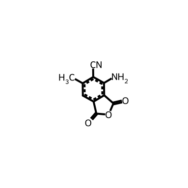 Cc1cc2c(c(N)c1C#N)C(=O)OC2=O